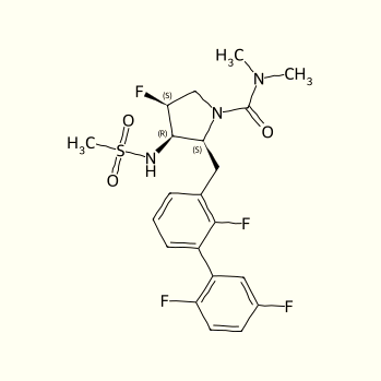 CN(C)C(=O)N1C[C@H](F)[C@H](NS(C)(=O)=O)[C@@H]1Cc1cccc(-c2cc(F)ccc2F)c1F